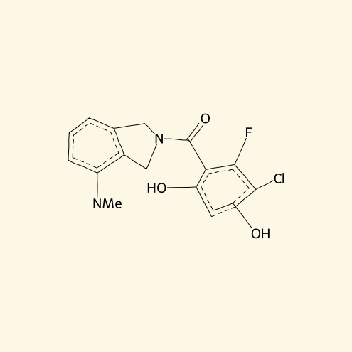 CNc1cccc2c1CN(C(=O)c1c(O)cc(O)c(Cl)c1F)C2